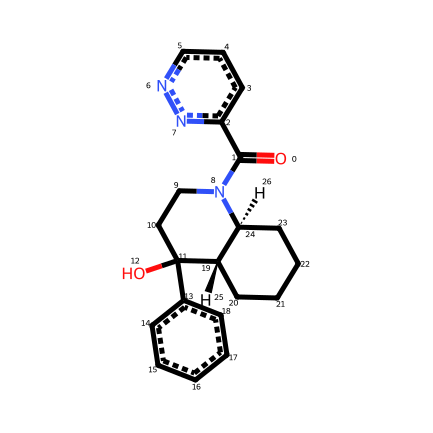 O=C(c1cccnn1)N1CCC(O)(c2ccccc2)[C@H]2CCCC[C@@H]21